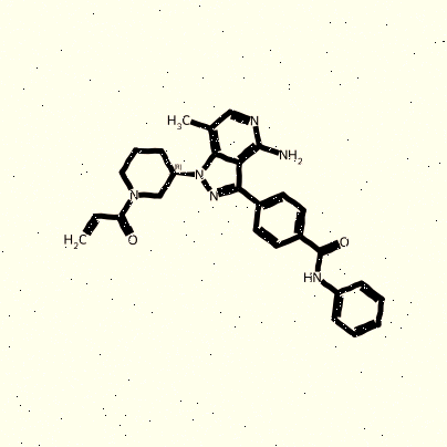 C=CC(=O)N1CCC[C@@H](n2nc(-c3ccc(C(=O)Nc4ccccc4)cc3)c3c(N)ncc(C)c32)C1